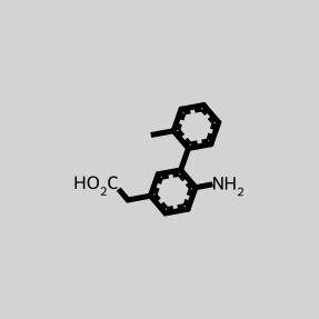 Cc1ccccc1-c1cc(CC(=O)O)ccc1N